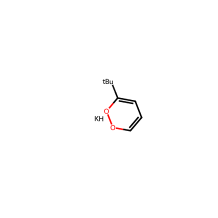 CC(C)(C)C1=CC=COO1.[KH]